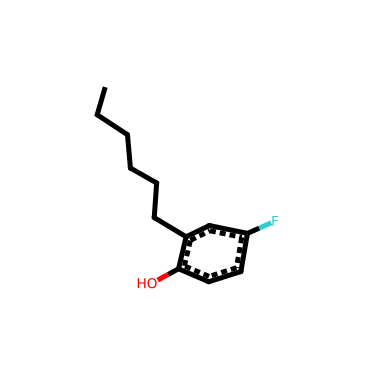 CCCCCCc1cc(F)ccc1O